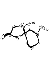 CC(C)(C)N1CCCC2(C1)SC(=O)CN2C(C)(C)C